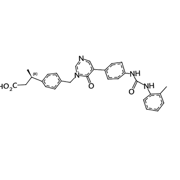 Cc1ccccc1NC(=O)Nc1ccc(-c2cncn(Cc3ccc([C@H](C)CC(=O)O)cc3)c2=O)cc1